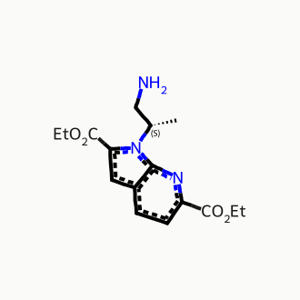 CCOC(=O)c1ccc2cc(C(=O)OCC)n([C@@H](C)CN)c2n1